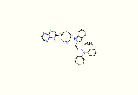 C=Cc1c(/C=C\CN(C2=C=CC=CC=C2)c2ccccc2)n(C2=C/C/C=C(/c3cnc4nccnc4n3)C/C=C\2)c2ccccc12